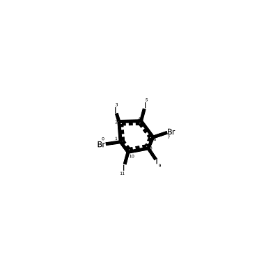 Brc1c(I)c(I)c(Br)c(I)c1I